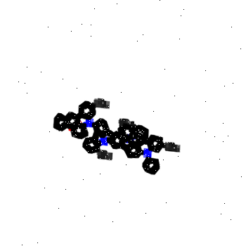 CC(C)(C)c1ccc(-c2ccc3ccccc3c2)c(N(c2ccccc2)c2ccc3c4cc5c(cc4n4c6c(C(C)(C)C)cccc6c2c34)c2ccc(N(c3ccccc3)c3cc(C(C)(C)C)ccc3-c3ccc4ccccc4c3)c3c4cccc(C(C)(C)C)c4n5c23)c1